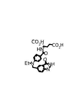 CCN(Cc1ccc2nc[nH]c(=O)c2c1)c1ccc(C(=O)N[C@@H](CCC(=O)O)C(=O)O)cc1